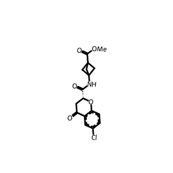 COC(=O)C12CC(NC(=O)[C@H]3CC(=O)c4cc(Cl)ccc4O3)(C1)C2